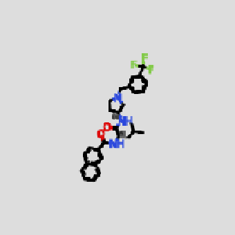 CC(C)C[C@H](NC(=O)c1ccc2ccccc2c1)C(=O)N[C@H]1CCN(Cc2cccc(C(F)(F)F)c2)C1